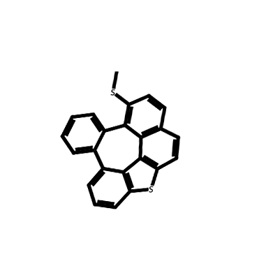 CSc1ccc2ccc3sc4cccc5c4c3c2c1-c1ccccc1-5